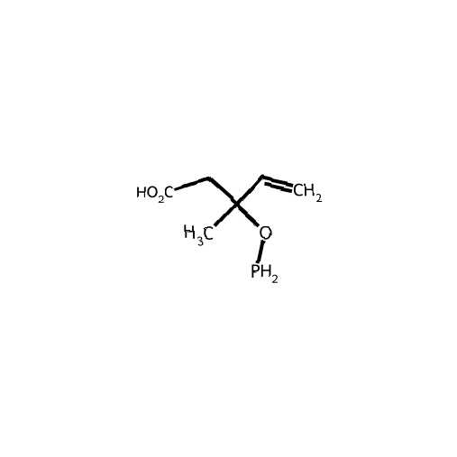 C=CC(C)(CC(=O)O)OP